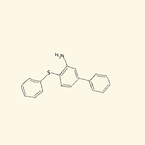 Nc1cc(-c2ccccc2)ccc1Sc1ccccc1